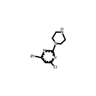 CCc1cc(C(C)C)nc(N2CCNCC2)n1